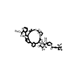 CCn1c(-c2cccnc2[C@H](C)OC)c2c3cc(ccc31)-c1cccc(c1)C[C@H](NC(=O)[C@H](C(C)C)N(C)C(=O)C1(O)CCN(C(=O)C#CC3(N(C)C)CN(C)C3)C1)C(=O)N1CCC[C@H](N1)C(=O)OCC(C)(C)C2